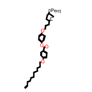 C=CCCCCCCCCCOc1ccc(C(=O)Oc2ccc(OCCCC3CCC(CCCCC)CC3)cc2)cc1